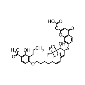 CCCc1c(OCCCCC/C=C\C=C\[C@H](Sc2ccc3c(=O)cc(OC(=O)O)oc3c2)[C@@H](O)C(Cl)(Cl)C(F)(F)F)ccc(C(C)=O)c1O